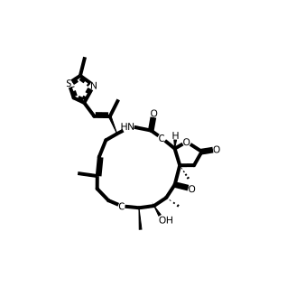 C/C1=C/C[C@@H](/C(C)=C/c2csc(C)n2)NC(=O)C[C@@H]2OC(=O)C[C@@]2(C)C(=O)[C@H](C)[C@@H](O)[C@@H](C)CCC1